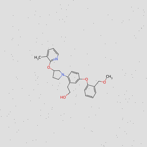 COCc1ccccc1Oc1ccc(N2CCC(Oc3ncccc3C)C2)c(CCO)c1